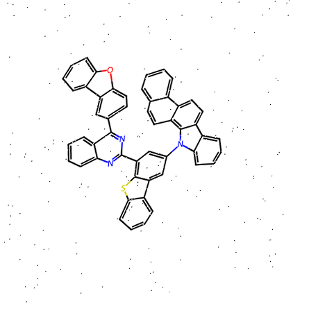 c1ccc2c(c1)ccc1c2ccc2c3ccccc3n(-c3cc(-c4nc(-c5ccc6oc7ccccc7c6c5)c5ccccc5n4)c4sc5ccccc5c4c3)c12